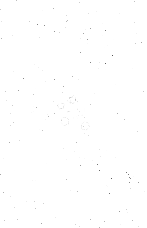 CCc1cc(C(=O)c2ccccc2)c(-n2c(C)nnc2CNC(=O)Nc2cccc(OC)c2)s1